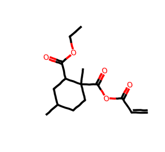 C=CC(=O)OC(=O)C1(C)CCC(C)CC1C(=O)OCC